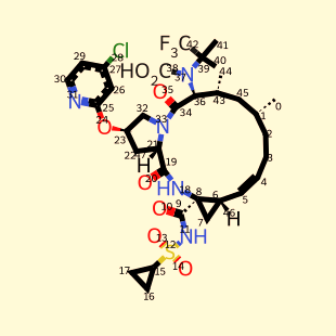 C[C@@H]1CC/C=C\[C@@H]2C[C@@]2(C(=O)NS(=O)(=O)C2CC2)NC(=O)[C@@H]2C[C@@H](Oc3cc(Cl)ccn3)CN2C(=O)[C@@H](N(C(=O)O)C(C)(C)C(F)(F)F)[C@H](C)C1